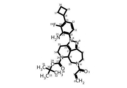 C=CC(=O)N1CCc2nn(-c3ccc(C4CCC4)c(F)c3N)c3c2C(C1)N(C(=O)OC(C)(C)C)CC3